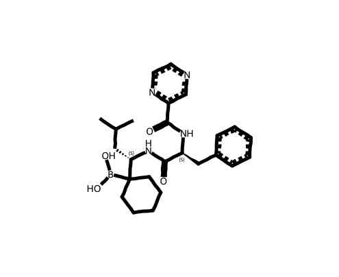 CC(C)C[C@H](NC(=O)[C@H](Cc1ccccc1)NC(=O)c1cnccn1)C1(B(O)O)CCCCC1